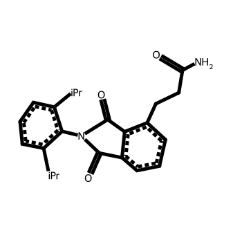 CC(C)c1cccc(C(C)C)c1N1C(=O)c2cccc(CCC(N)=O)c2C1=O